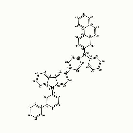 c1ccc(-c2cccc(-n3c4ccccc4c4cc(-c5ccc6c(c5)c5ccccc5n6-c5ccc6c(ccc7ccccc76)c5)ccc43)c2)cc1